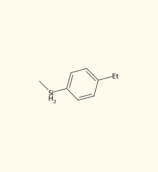 CCc1ccc([SiH2]C)cc1